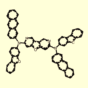 c1ccc2cc3cc(N(c4ccc5c(c4)oc4ccccc45)c4cc5oc6cc(N(c7ccc8cc9ccccc9cc8c7)c7ccc8c(c7)oc7ccccc78)ncc6c5cn4)ccc3cc2c1